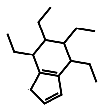 CCC1C2=C(C=C[CH]2)C(CC)C(CC)C1CC